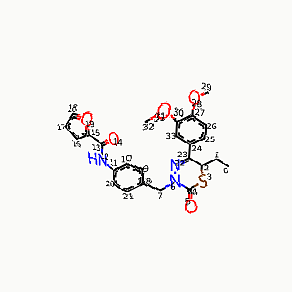 CCC1SC(=O)N(Cc2ccc(NC(=O)c3ccco3)cc2)N=C1c1ccc(OC)c(OC)c1